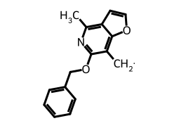 [CH2]c1c(OCc2ccccc2)nc(C)c2ccoc12